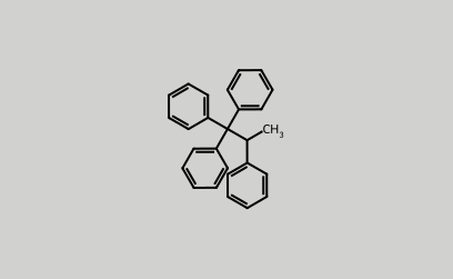 CC(c1ccccc1)C(c1ccccc1)(c1ccccc1)c1ccccc1